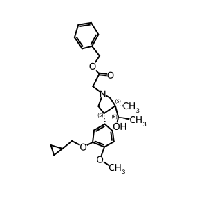 COc1ccc([C@@H]2CN(CC(=O)OCc3ccccc3)C[C@@]2(C)[C@@H](C)O)cc1OCC1CC1